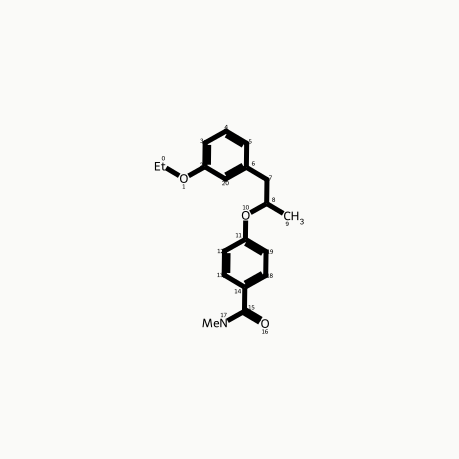 CCOc1cccc(CC(C)Oc2ccc(C(=O)NC)cc2)c1